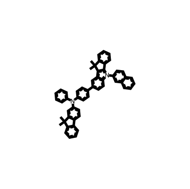 CC1(C)c2ccccc2-c2ccc(N(c3ccccc3)c3ccc(-c4ccc5c(c4)c4c(n5-c5ccc6ccccc6c5)-c5ccccc5C4(C)C)cc3)cc21